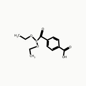 CCOP(OCC)C(=O)c1ccc(C(=O)O)cc1